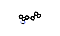 c1cc(-c2ccc3c4ccccc4c4nccnc4c3c2)cc(-c2cccc3ccccc23)c1